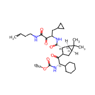 C=CCCNC(=O)C(=O)C(CC1CC1)NC(=O)[C@H]1C(C(=O)[C@@H](NC(=O)OC(C)(C)C)C2CCCCC2)C[C@H]2[C@@H]1C2(C)C